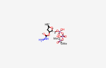 B=C1CC(OC(=O)NN)[C@@H](COP(=O)(O)OP(=O)(O)OP(=O)(OC)OC)O1